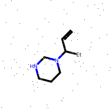 C=CC(CC)N1CCCNC1